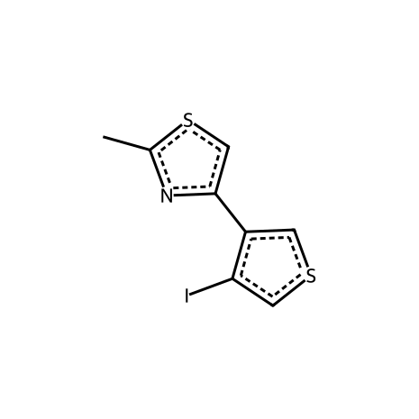 Cc1nc(-c2cscc2I)cs1